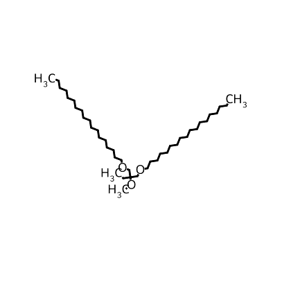 CCCCCCCCCCCCCCCCCCOCC(CC)(COCCCCCCCCCCCCCCCCCC)OC